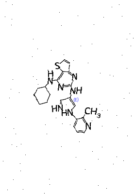 Cc1ncccc1N/C=C(\C=N)Nc1nc(NC2CCCCC2)c2sccc2n1